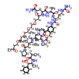 CCC(=O)CCOCCOCCOCCOCCC(=O)N[C@@H](CCC(N)=O)C(=O)N[C@H](C(=O)N[C@@H](CCCNC(N)=O)C(=O)Nc1ccc(COC(=O)N(C)[C@H](C(=O)N[C@H](C(=O)N(C)[C@@H]([C@@H](C)CC)[C@@H](CC(=O)N2CCC[C@H]2C[C@@H](C)C(=O)N[C@H](C)[C@@H](O)c2ccccc2)OC)C(C)C)C(C)C)c(C(=O)NC)c1)C(C)C